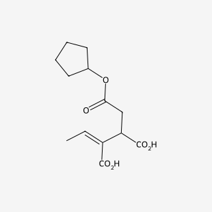 CC=C(C(=O)O)C(CC(=O)OC1CCCC1)C(=O)O